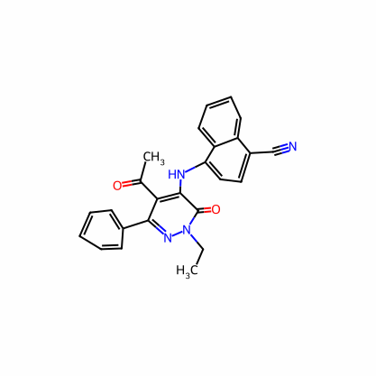 CCn1nc(-c2ccccc2)c(C(C)=O)c(Nc2ccc(C#N)c3ccccc23)c1=O